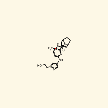 O=C(NCC(F)(F)F)N1C2C=C(c3ccnc(Nc4cnn(CCO)c4)n3)CC1CC2